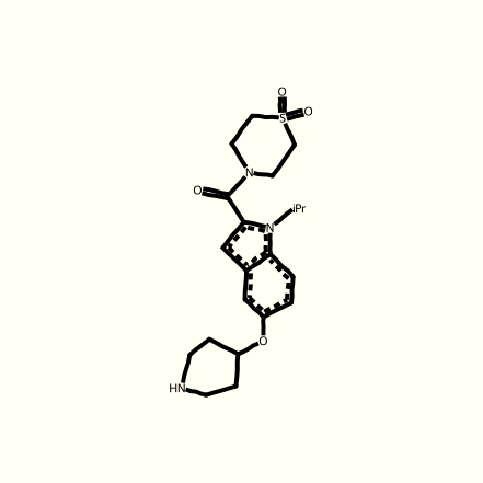 CC(C)n1c(C(=O)N2CCS(=O)(=O)CC2)cc2cc(OC3CCNCC3)ccc21